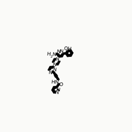 Nc1nnc(-c2ccccc2O)cc1N1CCN(c2ccnc(C#CCNC(=O)c3cccnn3)n2)CC1